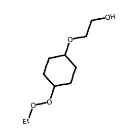 CCOOC1CCC(OCCO)CC1